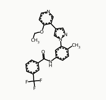 CCOc1ccncc1-c1cnn(-c2cc(NC(=O)c3cccc(C(F)(F)F)c3)ccc2C)c1